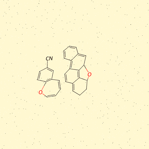 C1=c2ccc3c4c2C(CC1)OC4C=c1ccccc1=3.N#Cc1ccc2c(c1)C=CC=CO2